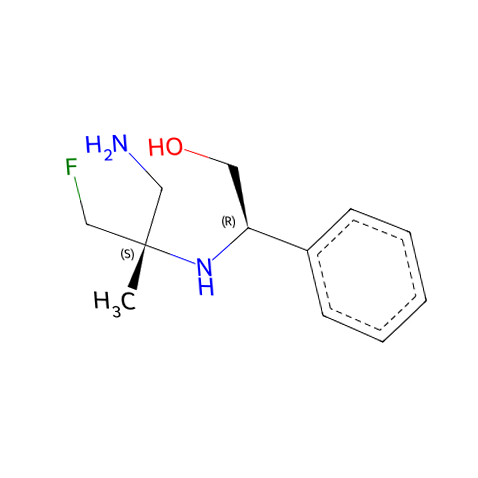 C[C@](CN)(CF)N[C@@H](CO)c1ccccc1